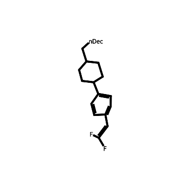 CCCCCCCCCCCC1CCC(c2ccc(C=C(F)F)cc2)CC1